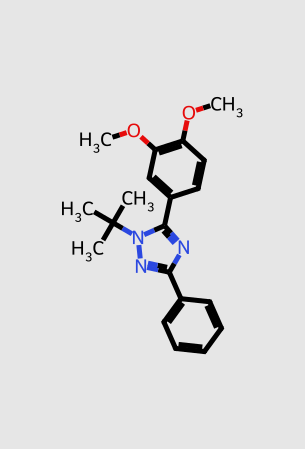 COc1ccc(-c2nc(-c3ccccc3)nn2C(C)(C)C)cc1OC